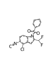 [C-]#[N+]c1ccc2c(cc(C(F)F)n2S(=O)(=O)c2ccccc2)c1Cl